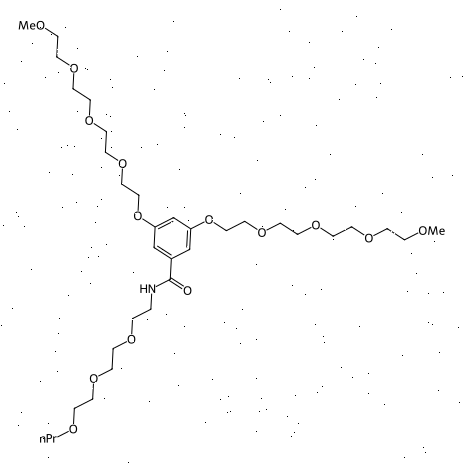 CCCOCCOCCOCCNC(=O)c1cc(OCCOCCOCCOCCOC)cc(OCCOCCOCCOCCOC)c1